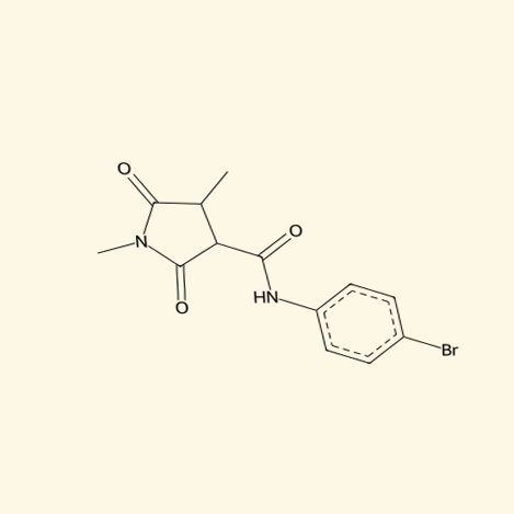 CC1C(=O)N(C)C(=O)C1C(=O)Nc1ccc(Br)cc1